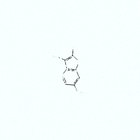 COc1cnc2c(Br)c(C(=O)O)sc2c1